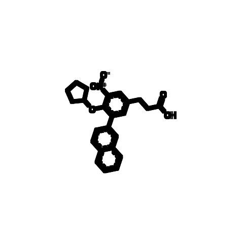 O=C(O)CCc1cc(-c2ccc3ccccc3c2)c(OC2CCCC2)c([N+](=O)[O-])c1